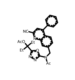 CCC(CC)(OC(C)=O)c1nnc(N(Cc2ccc3c(-c4ccccc4)cc(C#N)nc3c2)C(C)=O)o1